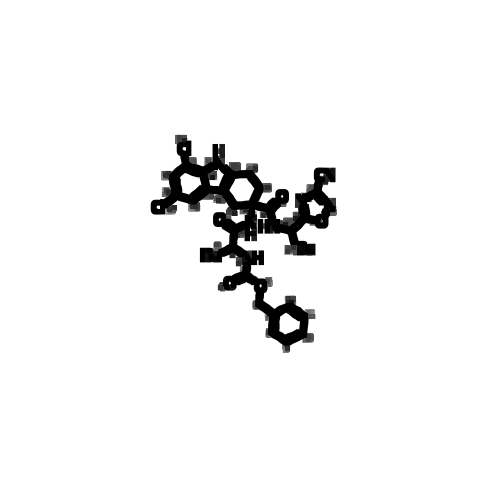 CCC(C)C(NC(=O)OCc1ccccc1)C(=O)N[C@]1(C(=O)NC(c2nc(C#N)no2)C(C)CC)CCc2[nH]c3c(Cl)cc(Cl)cc3c2C1